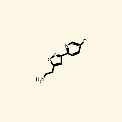 NCCc1cc(-c2ccc(F)cn2)no1